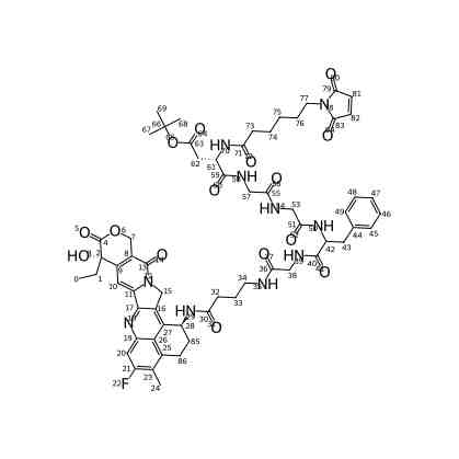 CC[C@@]1(O)C(=O)OCc2c1cc1n(c2=O)Cc2c-1nc1cc(F)c(C)c3c1c2[C@@H](NC(=O)CCCNC(=O)CNC(=O)C(Cc1ccccc1)NC(=O)CNC(=O)CNC(=O)[C@H](CC(=O)OC(C)(C)C)NC(=O)CCCCCN1C(=O)C=CC1=O)CC3